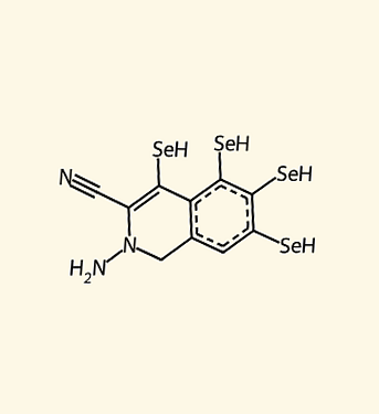 N#CC1=C([SeH])c2c(cc([SeH])c([SeH])c2[SeH])CN1N